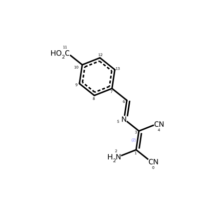 N#C/C(N)=C(\C#N)N=Cc1ccc(C(=O)O)cc1